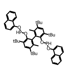 Cc1c(C(C)(C)C)cc(C(C)(C)C)c(OPOc2cccc3ccccc23)c1-c1c(C)c(C(C)(C)C)cc(C(C)(C)C)c1OPOc1cccc2ccccc12